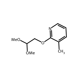 COC(COc1ncccc1C)OC